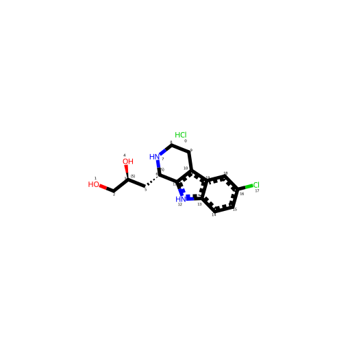 Cl.OC[C@@H](O)C[C@@H]1NCCc2c1[nH]c1ccc(Cl)cc21